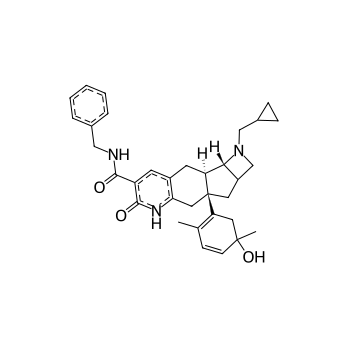 CC1=C([C@@]23Cc4[nH]c(=O)c(C(=O)NCc5ccccc5)cc4C[C@H]2[C@H]2C(CN2CC2CC2)C3)CC(C)(O)C=C1